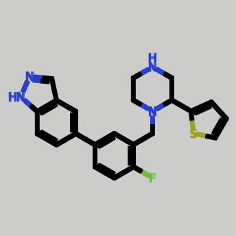 Fc1ccc(-c2ccc3[nH]ncc3c2)cc1CN1CCNCC1c1cccs1